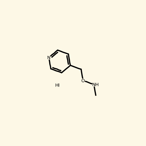 CNOCc1ccncc1.I